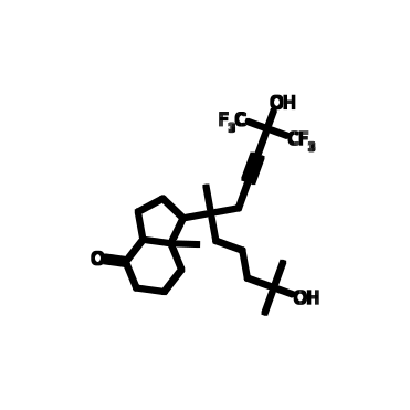 CC(C)(O)CCCC(C)(CC#CC(O)(C(F)(F)F)C(F)(F)F)C1CCC2C(=O)CCCC21C